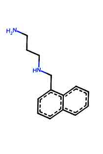 NCCCNCc1cccc2ccccc12